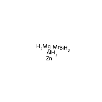 [AlH3].[BiH3].[MgH2].[Mn].[Zn]